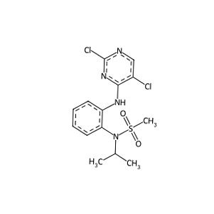 CC(C)N(c1ccccc1Nc1nc(Cl)ncc1Cl)S(C)(=O)=O